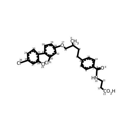 CC(CCc1ccc(C(=O)NCCC(=O)O)cc1)COc1ccc(-c2ccc(Cl)cc2Cl)c(Cl)c1